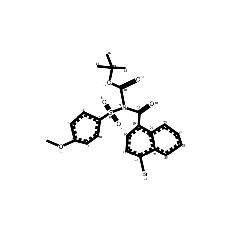 COc1ccc(S(=O)(=O)N(C(=O)OC(C)(C)C)C(=O)c2ccc(Br)c3ccccc23)cc1